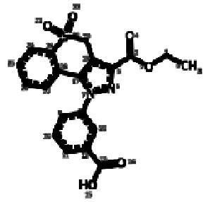 CCOC(=O)c1nn(-c2cccc(C(=O)O)c2)c2c1CS(=O)(=O)c1ccccc1-2